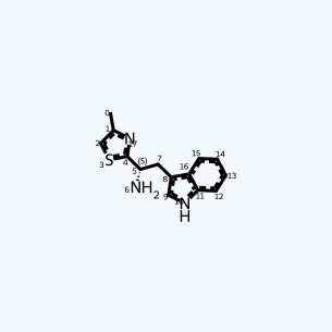 Cc1csc([C@@H](N)Cc2c[nH]c3ccccc23)n1